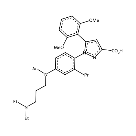 CCN(CC)CCCN(C(C)=O)c1ccc(-n2nc(C(=O)O)cc2-c2c(OC)cccc2OC)c(C(C)C)c1